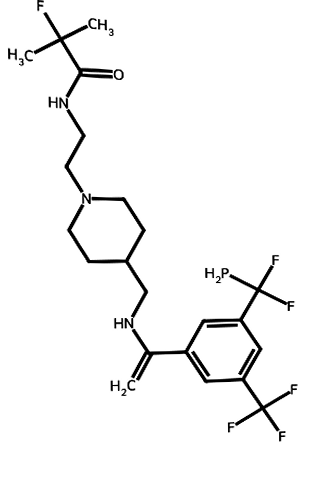 C=C(NCC1CCN(CCNC(=O)C(C)(C)F)CC1)c1cc(C(F)(F)F)cc(C(F)(F)P)c1